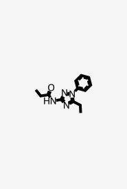 CCC(=O)Nc1nc(CC)n(-c2ccccc2)n1